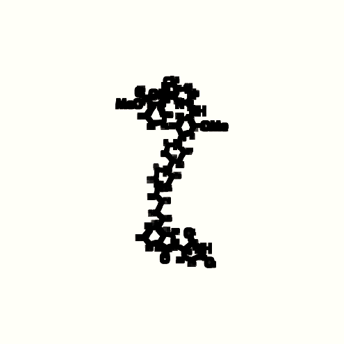 COc1cc(N2CCC(N3CCN(CCCCc4cccc5c4CN(C4CCC(=O)NC4=O)C5=O)CC3)CC2)ccc1Nc1ncc(Cl)c(Nc2ccccc2P(=O)(OC)OC)n1